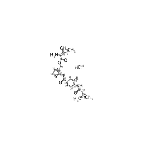 CC[C@H](C)[C@H](N)C(=O)OCn1ccsc1=NC(=O)c1ccc(NC(=O)CC(C)C)c(F)c1.Cl